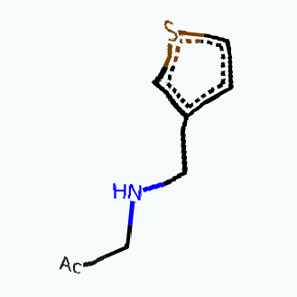 CC(=O)CNCc1ccsc1